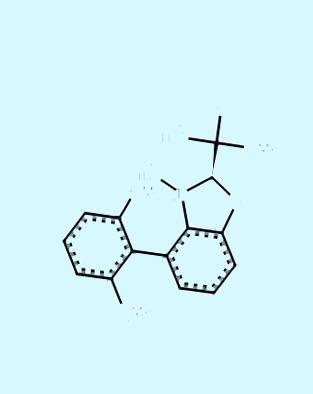 COc1cccc(OC)c1-c1cccc2c1P(C(C)(C)C)[C@@H](C(C)(C)OC)O2